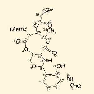 CCCCCC1C(=O)OC2COC(c3cccc(NC=O)c3O)NC2C(=O)OC(C)C1OC(=O)CC(C)C